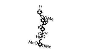 COc1ccc(OC)c(CCNC(=O)C(=O)Nc2ccc(Oc3ccnc4c(OC)c(OCC5CCNCC5)ccc34)c(F)c2)c1